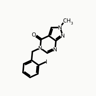 Cn1cc2c(=O)n(Cc3ccccc3I)cnc2n1